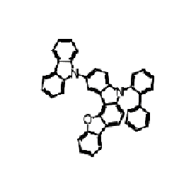 c1ccc(-c2ccccc2-n2c3ccc(-n4c5ccccc5c5ccccc54)cc3c3c4oc5ccccc5c4ccc32)cc1